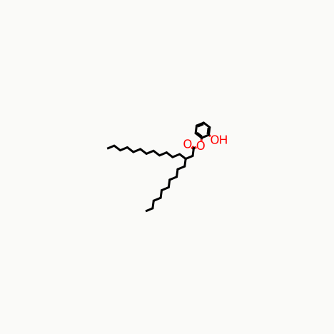 CCCCCCCCCCCCC(CCCCCCCCCC)CC(=O)Oc1ccccc1O